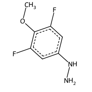 COc1c(F)cc(NN)cc1F